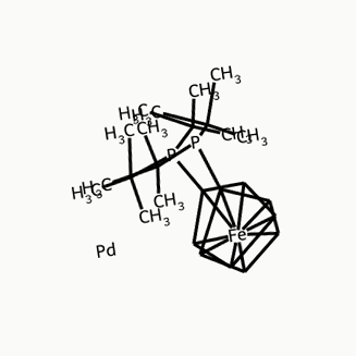 CC(C)(C)P(C(C)(C)C)[C]12[CH]3[CH]4[CH]5[CH]1[Fe]45321678[CH]2[CH]1[CH]6[C]7(P(C(C)(C)C)C(C)(C)C)[CH]28.[Pd]